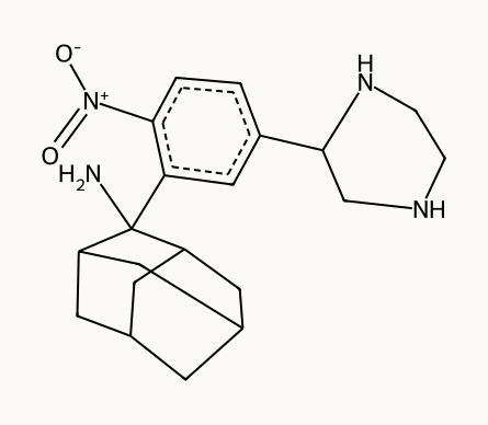 NC1(c2cc(C3CNCCN3)ccc2[N+](=O)[O-])C2CC3CC(C2)CC1C3